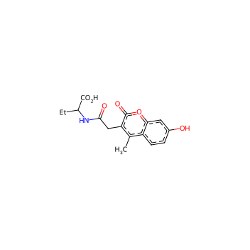 CCC(NC(=O)Cc1c(C)c2ccc(O)cc2oc1=O)C(=O)O